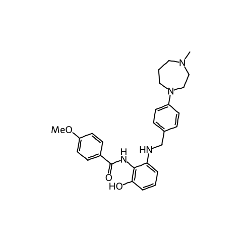 COc1ccc(C(=O)Nc2c(O)cccc2NCc2ccc(N3CCCN(C)CC3)cc2)cc1